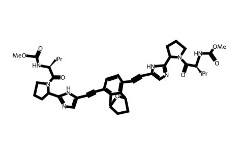 COC(=O)N[C@H](C(=O)N1CCCC1c1ncc(C#Cc2ccc(C#Cc3cnc(C4CCCN4C(=O)[C@@H](NC(=O)OC)C(C)C)[nH]3)c3c2C2CCC3O2)[nH]1)C(C)C